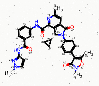 Cc1cc2c(c(C(=O)Nc3cccc(C(=O)Nc4ccn(C)n4)c3)n1)[C@@H](C1CC1)N(c1ccc(-c3c(C)on(C)c3=O)cc1)C2=O